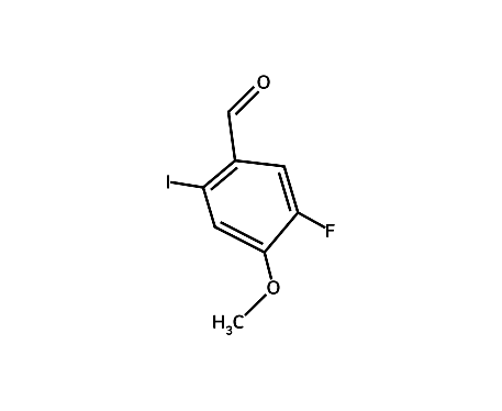 COc1cc(I)c(C=O)cc1F